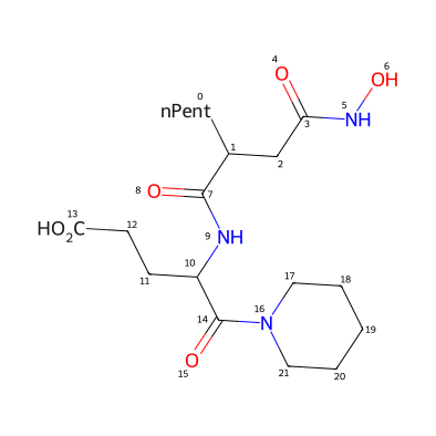 CCCCCC(CC(=O)NO)C(=O)NC(CCC(=O)O)C(=O)N1CCCCC1